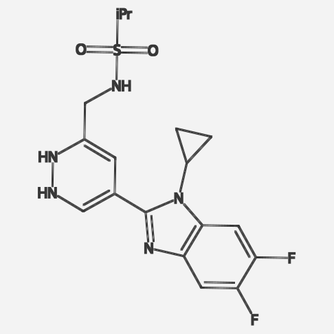 CC(C)S(=O)(=O)NCC1=CC(c2nc3cc(F)c(F)cc3n2C2CC2)=CNN1